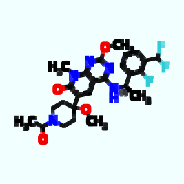 COc1nc(N[C@H](C)c2cccc(C(F)F)c2F)c2cc(C3(OC)CCN(C(C)=O)CC3)c(=O)n(C)c2n1